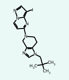 CC(C)(C)Cn1cnc2c1CCN(c1ccn3ncc(I)c3n1)C2